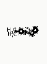 CC(C)c1ccc(C(=O)Nc2ccc3ccccc3n2)cc1